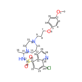 COc1ccc(OCCCN2CCCN(C(C)NS(=O)(=O)c3ccc(Cl)c4ncccc34)CC2)cc1